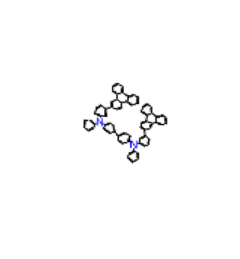 C1=CC2c3ccccc3-c3ccccc3C2C=C1c1cccc(N(c2ccccc2)c2ccc(-c3ccc(N(c4ccccc4)c4cccc(-c5ccc6c7ccccc7c7ccccc7c6c5)c4)cc3)cc2)c1